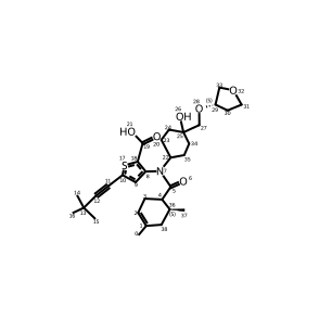 CC1=CCC(C(=O)N(c2cc(C#CC(C)(C)C)sc2C(=O)O)C2CCC(O)(CO[C@H]3CCOC3)CC2)[C@@H](C)C1